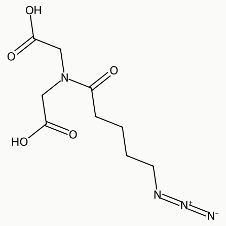 [N-]=[N+]=NCCCCC(=O)N(CC(=O)O)CC(=O)O